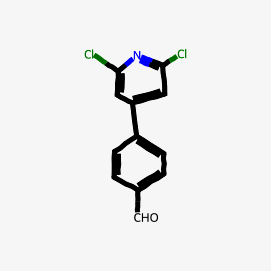 O=Cc1ccc(-c2cc(Cl)nc(Cl)c2)cc1